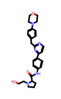 O=C(Nc1ccc(-c2ccnc(Cc3ccc(N4CCOCC4)cc3)n2)cc1)C1CCCN1CCO